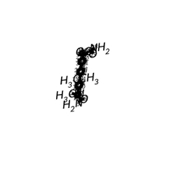 Cc1cc(C(N)=O)nn1-c1ccc(C(C)(C)c2ccc(-c3ccc(C4(COC(N)=O)COC4)cc3)cc2)cc1